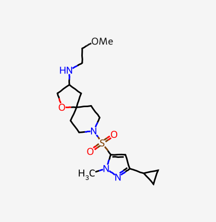 COCCNC1COC2(CCN(S(=O)(=O)c3cc(C4CC4)nn3C)CC2)C1